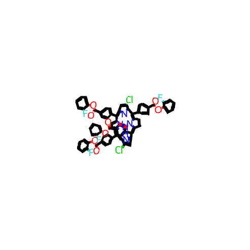 O=C(Oc1ccccc1F)c1ccc(/C2=C3\C=C(Cl)C(=N3)/C(c3ccc(C(=O)Oc4ccccc4F)cc3)=c3/cc/c4n3Nn3c2ccc3/C(c2ccc(C(=O)Oc3ccccc3F)cc2)=C2N=C(C=C\2Cl)/C=4c2ccc(C(=O)Oc3ccccc3F)cc2)cc1